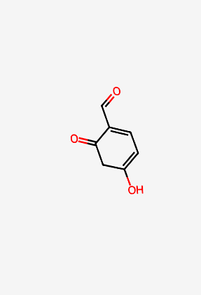 O=CC1=CC=C(O)CC1=O